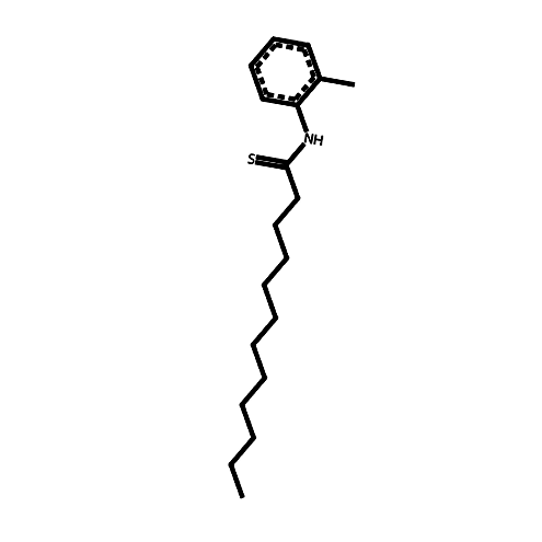 CCCCCCCCCCCC(=S)Nc1ccccc1C